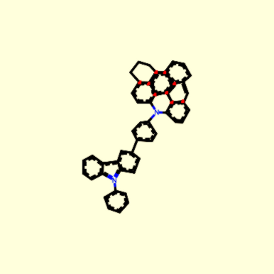 C1=c2cccc(C3CCCCC3)c2=C(c2ccccc2N(c2ccc(-c3ccc4c(c3)c3ccccc3n4-c3ccccc3)cc2)c2ccccc2-c2ccccc2)CC1